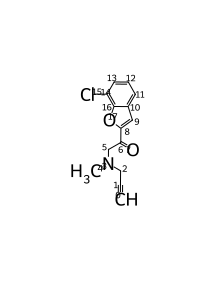 C#CCN(C)CC(=O)c1cc2cccc(Cl)c2o1